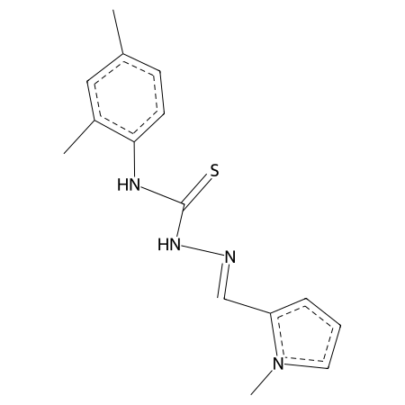 Cc1ccc(NC(=S)NN=Cc2cccn2C)c(C)c1